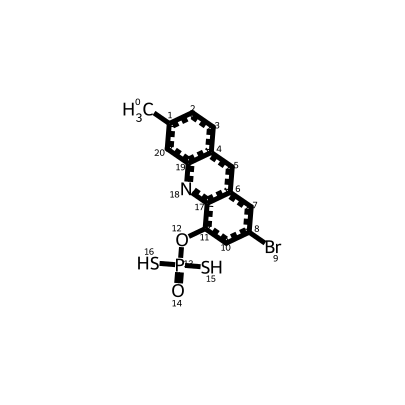 Cc1ccc2cc3cc(Br)cc(OP(=O)(S)S)c3nc2c1